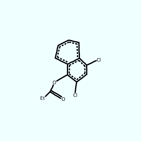 CCC(=O)Oc1c(Cl)cc(Cl)c2ccccc12